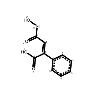 O=C(/C=C(\C(=O)O)c1ccccc1)NO